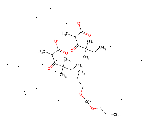 CCC(C)(C)C(=O)C(C)C(=O)[O-].CCC(C)(C)C(=O)C(C)C(=O)[O-].CCC[O][Zr+2][O]CCC